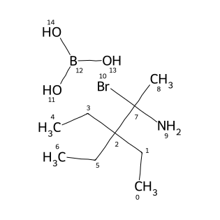 CCC(CC)(CC)C(C)(N)Br.OB(O)O